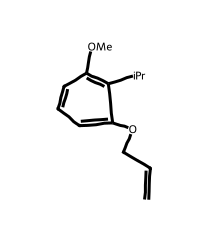 C=CCOc1cccc(OC)c1C(C)C